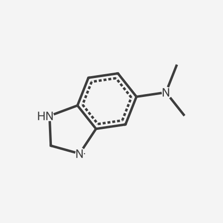 CN(C)c1ccc2c(c1)[N]CN2